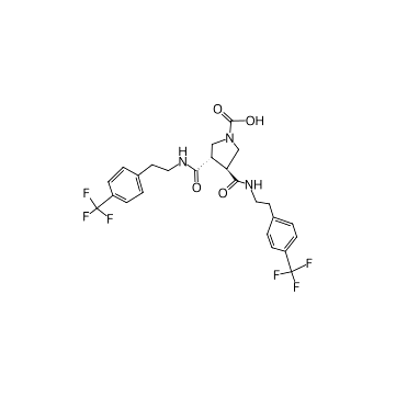 O=C(NCCc1ccc(C(F)(F)F)cc1)[C@@H]1CN(C(=O)O)C[C@H]1C(=O)NCCc1ccc(C(F)(F)F)cc1